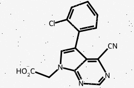 N#Cc1ncnc2c1c(-c1ccccc1Cl)cn2CC(=O)O